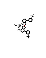 CCC[SiH]=[Hf]([CH3])([CH3])([CH]1C=Cc2c(-c3cccc(C(C)(C)C)c3)cccc21)[CH]1C=Cc2c(-c3cccc(C(C)(C)C)c3)cccc21